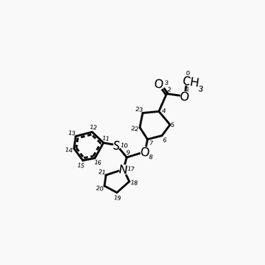 COC(=O)C1CCC(OC(Sc2ccccc2)N2CCCC2)CC1